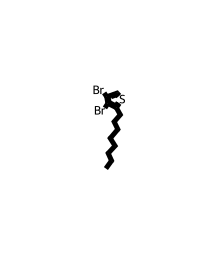 CCCCCCCCc1scc(Br)c1Br